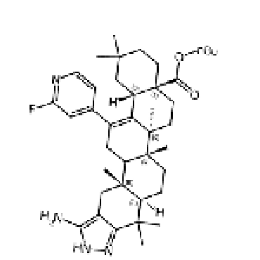 CCCCOC(=O)[C@]12CCC(C)(C)C[C@H]1C1=C(c3ccnc(F)c3)CC3[C@@]4(C)Cc5c(n[nH]c5N)C(C)(C)[C@@H]4CC[C@@]3(C)[C@]1(C)CC2